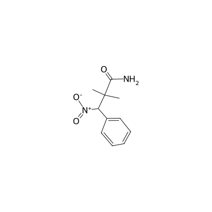 CC(C)(C(N)=O)C(c1ccccc1)[N+](=O)[O-]